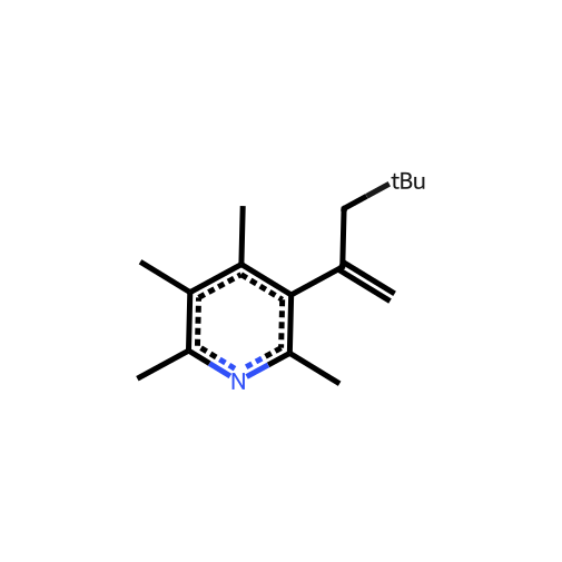 C=C(CC(C)(C)C)c1c(C)nc(C)c(C)c1C